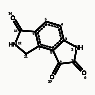 O=C1Nc2ccc3c(c2C1=O)CNC3=O